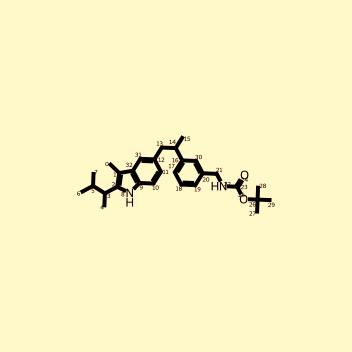 Cc1c(C(C)C(C)C)[nH]c2ccc(CC(C)c3cccc(CNC(=O)OC(C)(C)C)c3)cc12